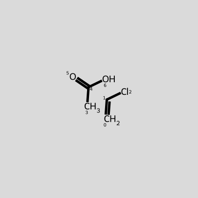 C=CCl.CC(=O)O